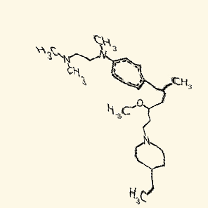 CCC1CCN(CCC(CC(C)c2ccc(N(C)CCN(C)C)cc2)OC)CC1